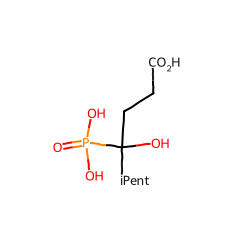 CCCC(C)C(O)(CCC(=O)O)P(=O)(O)O